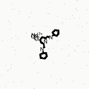 C(=Nc1ccccc1)c1cccc(C=Nc2ccccc2)n1.[Cl-].[Cl-].[Cl-].[Nd+3]